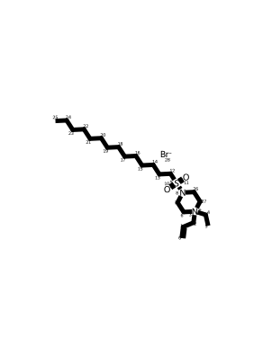 C=CC[N+]1(CC)CCN(S(=O)(=O)CCCCCCCCCCCCCC)CC1.[Br-]